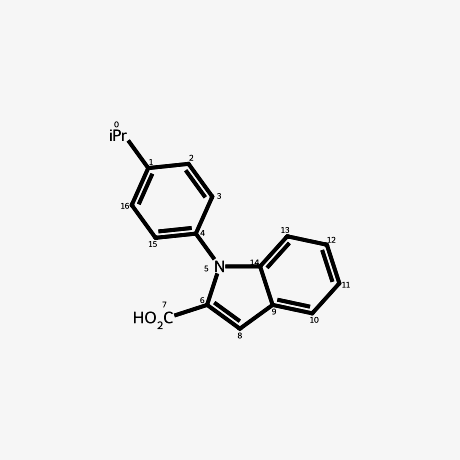 CC(C)c1ccc(-n2c(C(=O)O)cc3ccccc32)cc1